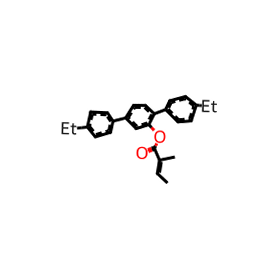 C/C=C(\C)C(=O)Oc1cc(-c2ccc(CC)cc2)ccc1-c1ccc(CC)cc1